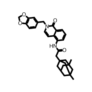 CC12CC3CC(C)(C1)CC(CC(=O)Nc1cccc4c(=O)n(Cc5ccc6c(c5)OCO6)ccc14)(C3)C2